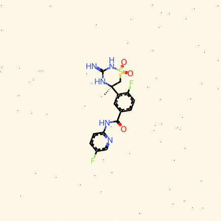 C[C@@]1(c2cc(C(=O)Nc3ccc(F)cn3)ccc2F)CS(=O)(=O)NC(=N)N1